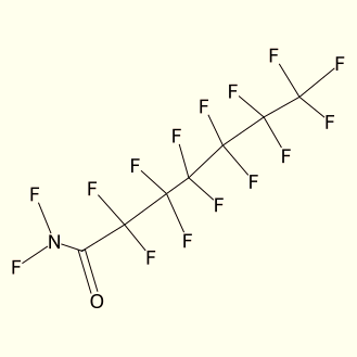 O=C(N(F)F)C(F)(F)C(F)(F)C(F)(F)C(F)(F)C(F)(F)C(F)(F)F